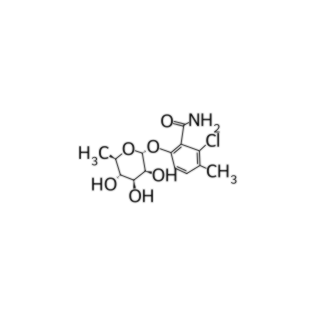 Cc1ccc(O[C@H]2O[C@H](C)[C@@H](O)[C@H](O)[C@@H]2O)c(C(N)=O)c1Cl